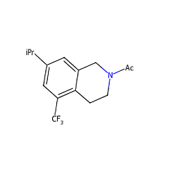 CC(=O)N1CCc2c(cc(C(C)C)cc2C(F)(F)F)C1